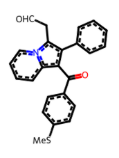 CSc1ccc(C(=O)c2c(-c3ccccc3)c(CC=O)n3ccccc23)cc1